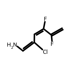 C=C(F)/C(F)=C\C(Cl)=C/N